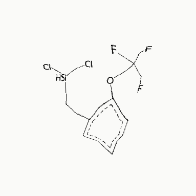 FC(F)(F)Oc1ccccc1C[SiH](Cl)Cl